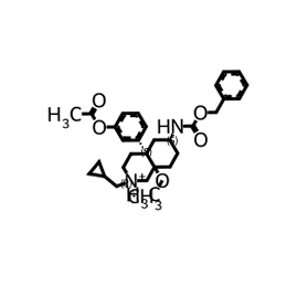 COC12CC[C@H](NC(=O)OCc3ccccc3)C[C@]1(c1cccc(OC(C)=O)c1)CC[N@+](C)(CC1CC1)C2